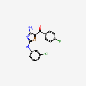 Nc1nc(Nc2cccc(Cl)c2)sc1C(=O)c1ccc(F)cc1